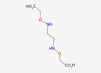 O=C(O)CONCCNOCC(=O)O